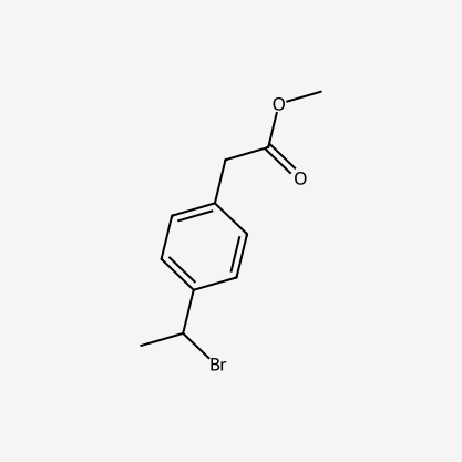 COC(=O)Cc1ccc(C(C)Br)cc1